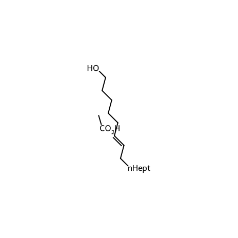 CC(=O)O.CCCCCCCCC=CCCCCCO